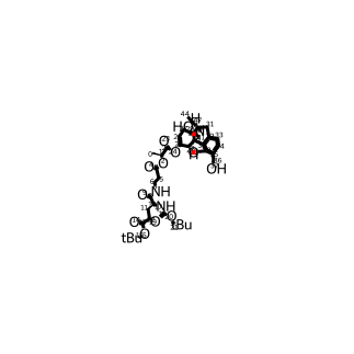 C[C@H](OC(=O)CCNC(=O)[C@H](CCC(=O)OC(C)(C)C)NC(=O)OC(C)(C)C)C(=O)OC1=CC[C@@]2(O)[C@H]3Cc4ccc(CO)c5c4[C@@]2(CCN3C)[C@H]1O5